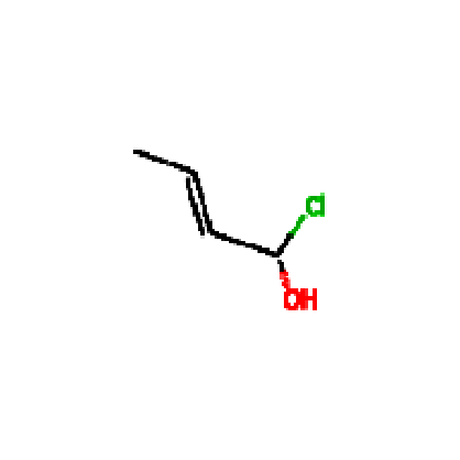 C/C=C/[C@@H](O)Cl